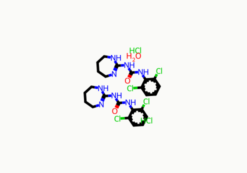 Cl.Cl.O.O=C(NC1=NCCCCN1)Nc1c(Cl)cccc1Cl.O=C(NC1=NCCCCN1)Nc1c(Cl)cccc1Cl